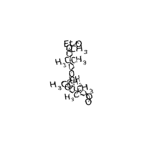 CCC(C)(Oc1ccc(C(C)(C)c2ccc(OCC(O)CC(C)(C)Oc3ccc(C(C)(C)c4ccc(OC5CO5)cc4)cc3)cc2)cc1)C1CO1